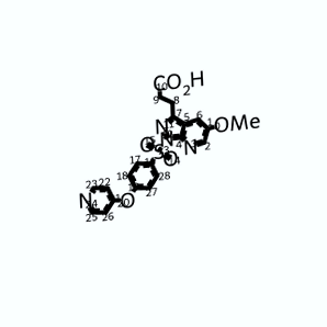 COc1cnc2c(c1)c(CCC(=O)O)nn2S(=O)(=O)c1ccc(Oc2ccncc2)cc1